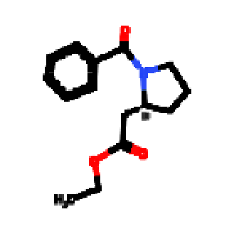 CCOC(=O)C[C@H]1CCCN1C(=O)c1ccccc1